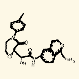 Cc1ccc(N2CCO[C@H]([C@@H](O)C(=O)Nc3ccc4c(N)nccc4c3)C2=O)cc1